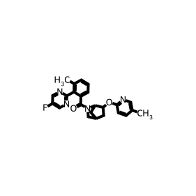 Cc1ccc(OC2CC3CC2N(C(=O)c2cccc(C)c2-c2ncc(F)cn2)C3)nc1